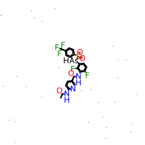 CC(=O)Nc1ccc(C(=O)Nc2c(F)ccc([AsH]S(=O)(=O)c3ccc(C(F)(F)F)cc3)c2F)cn1